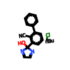 CCCCCl.N#Cc1c(-c2ccccc2)cccc1C1(O)N=CC=N1